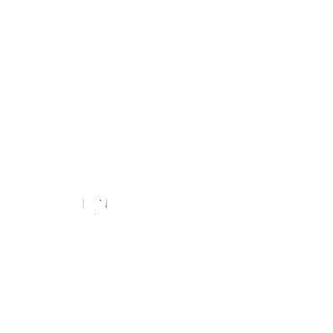 CC(C/C=C/CN)c1ccccc1